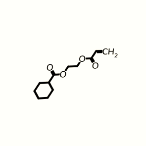 C=CC(=O)OCCOC(=O)C1CCCCC1